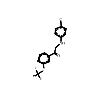 O=C(CNc1ccc(Cl)cc1)c1cccc(OC(F)(F)F)c1